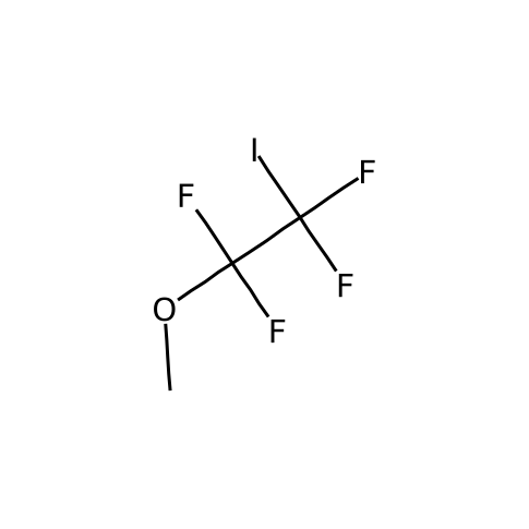 COC(F)(F)C(F)(F)I